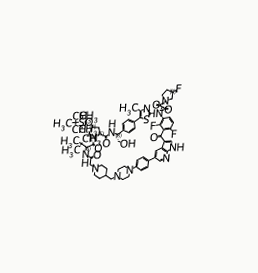 Cc1ncsc1-c1ccc([C@H](CO)NC(=O)[C@@H]2C[C@@H](O[Si](C)(C)C(C)(C)C)CN2C(=O)[C@@H](NC(=O)CN2CCC(CN3CCN(c4ccc(-c5cnc6[nH]cc(C(=O)c7c(F)ccc(NS(=O)(=O)N8CC[C@@H](F)C8)c7F)c6c5)cc4)CC3)CC2)C(C)(C)C)cc1